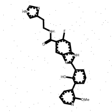 COc1ncccc1-c1cccc(-c2nc3cc(C(=O)NCCc4c[nH]cn4)c(F)cc3[nH]2)c1O